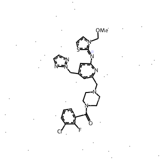 COCn1ccs/c1=N\c1cc(Cn2nccn2)cc(CN2CCN(C(=O)c3cccc(Cl)c3F)CC2)n1